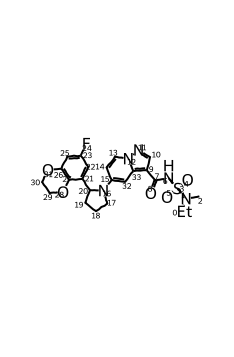 CCN(C)S(=O)(=O)NC(=O)c1cnn2ccc(N3CCCC3c3cc(F)cc4c3OCCO4)cc12